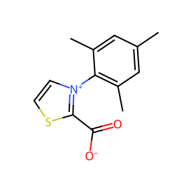 Cc1cc(C)c(-[n+]2ccsc2C(=O)[O-])c(C)c1